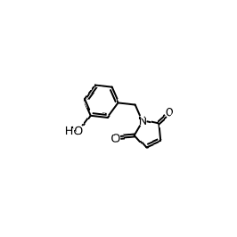 O=C1C=CC(=O)N1Cc1cccc(O)c1